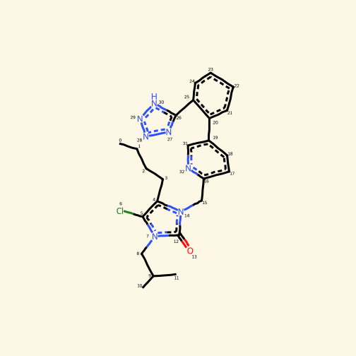 CCCCc1c(Cl)n(CC(C)C)c(=O)n1Cc1ccc(-c2ccccc2-c2nnn[nH]2)cn1